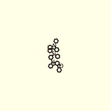 c1ccc(-n2c3ccccc3c3c([Si](c4ccccc4)(c4ccccc4)c4cccc(-n5c6ccccc6c6c7c(ccc65)oc5ccccc57)c4)cccc32)cc1